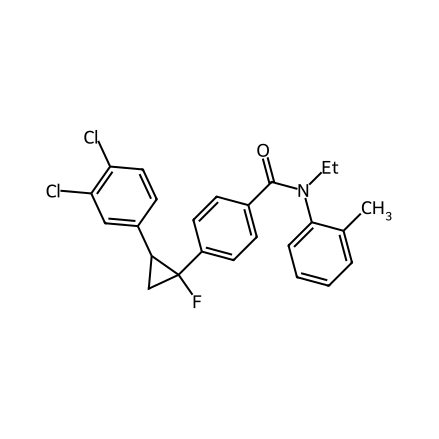 CCN(C(=O)c1ccc(C2(F)CC2c2ccc(Cl)c(Cl)c2)cc1)c1ccccc1C